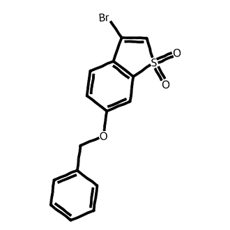 O=S1(=O)C=C(Br)c2ccc(OCc3ccccc3)cc21